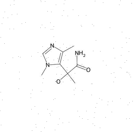 Cc1ncn(C)c1C(C)([O])C(N)=O